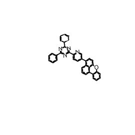 C1=CCC(c2nc(-c3ccccc3)nc(-c3ccc(-c4ccc5c6c(cccc46)-c4ccccc4O5)cn3)n2)C=C1